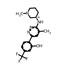 Cc1cc(-c2ccc(C(F)(F)F)cc2O)nnc1N[C@@H]1CCCN(C)C1